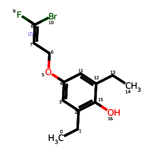 CCc1cc(OC/C=C(/F)Br)cc(CC)c1O